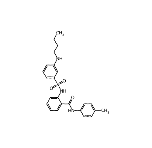 CCCCNc1cccc(S(=O)(=O)Nc2ccccc2C(=O)Nc2ccc(C)cc2)c1